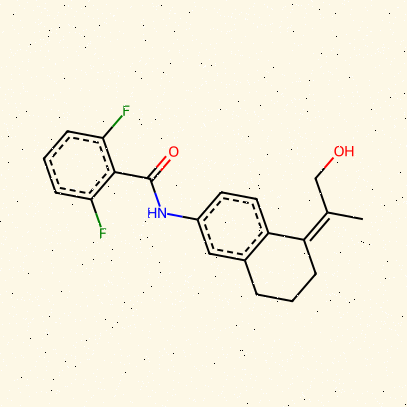 C/C(CO)=C1\CCCc2cc(NC(=O)c3c(F)cccc3F)ccc21